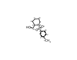 Cc1ccc(S(=O)(=O)N2CCCCC2CO)cc1